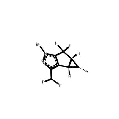 CCn1nc(C(F)F)c2c1C(F)(F)[C@@H]1[C@H](C)[C@H]21